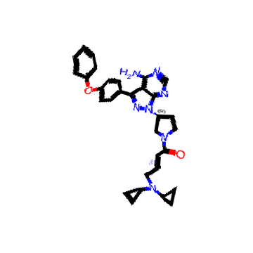 Nc1ncnc2c1c(-c1ccc(Oc3ccccc3)cc1)nn2[C@@H]1CCN(C(=O)/C=C/CN(C2CC2)C2CC2)C1